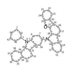 c1ccc(-n2c3ccc(-n4c5ccccc5c5ccc6c7ccccc7oc6c54)cc3c3ccc4ccccc4c32)cc1